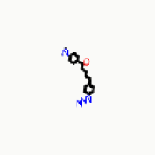 CN(C)c1ccc(C(=O)CCC=Cc2ccc(N=[N+]=[N-])cc2)cc1